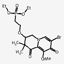 CCOP(=O)(CCOC1Cn2cc(Br)c(=O)c(OC)c2C(=O)C1(C)C)OCC